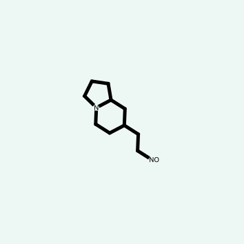 O=NCCC1CCN2CCCC2C1